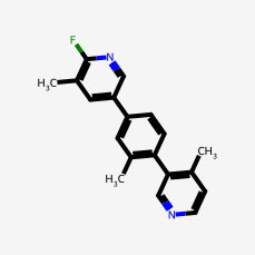 Cc1cc(-c2cnc(F)c(C)c2)ccc1-c1cnccc1C